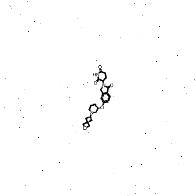 O=C1CCC(N2Cc3cc(O[C@@H]4CCCN(C5CC6(COC6)C5)C4)ccc3C2=O)C(=O)N1